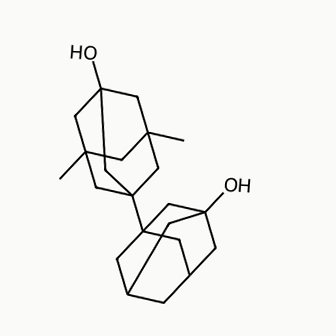 CC12CC3(C)CC(O)(C1)CC(C14CC5CC(CC(O)(C5)C1)C4)(C2)C3